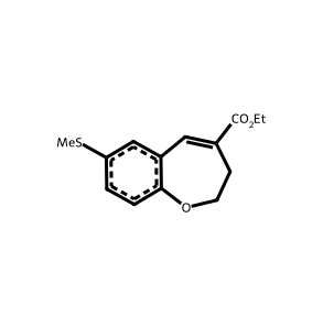 CCOC(=O)C1=Cc2cc(SC)ccc2OCC1